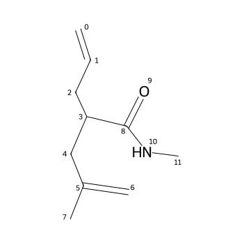 C=CCC(CC(=C)C)C(=O)NC